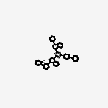 c1ccc(-c2ccc(-c3nc(-c4ccc(-c5ccccc5)c5ccccc45)nc(-c4ccc(-c5cccc6c5oc5ccccc56)c5ccccc45)n3)cc2)cc1